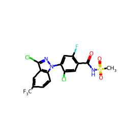 CS(=O)(=O)NC(=O)c1cc(Cl)c(-n2nc(Cl)c3cc(C(F)(F)F)ccc32)cc1F